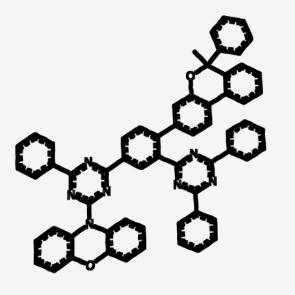 CC1(c2ccccc2)Oc2cc(-c3ccc(-c4nc(-c5ccccc5)nc(N5c6ccccc6Oc6ccccc65)n4)cc3-c3nc(-c4ccccc4)nc(-c4ccccc4)n3)ccc2-c2ccccc21